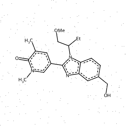 CCC(COC)n1c(-c2cc(C)c(=O)n(C)c2)nc2cc(CO)ccc21